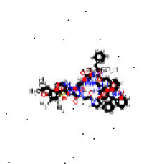 Cc1c(C)c(S(=O)(=O)NC(=N)NCCC[C@H](NC(=O)[C@H](CCC(=O)NC(c2ccccc2)(c2ccccc2)c2ccccc2)NC(=O)[C@@H]2CCCN2C(=O)CNC(=O)[C@H](Cc2ccccc2)NC(=O)CNC(=O)[C@@H](C)NC(=O)[C@@H](N)Cc2ccc(OC(C)(C)C)cc2)C(=O)N[C@@H](Cc2ccccc2)C(=O)O)c(C)c2c1OC(C)(C)C2